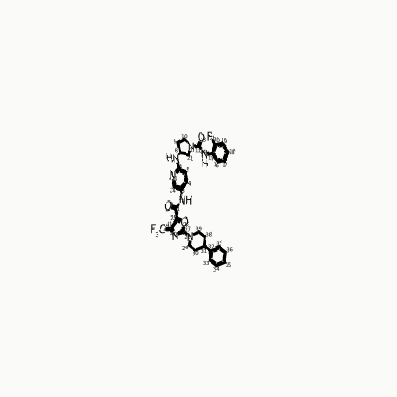 O=C(Nc1ccc(N[C@@H]2CCN(C(=O)Nc3ccccc3F)C2)nc1)c1oc(N2CCC(c3ccccc3)CC2)nc1C(F)(F)F